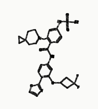 CCS(=O)(=O)Nc1ccc(C(=O)Nc2ccc(-c3ncco3)c(OC3CC(F)(F)C3)c2)c(N2CCC3(CC2)CC3)c1